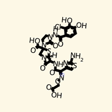 Nc1nc(/C(=N/OCC(=O)O)C(=O)NC2C(=O)N3CC(C(=O)O)(N4CCN(NC(=O)c5ccc(O)c(O)c5Cl)C4=O)S[C@H]23)cs1